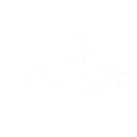 BC(C)(O)C(C)(O)N(C)/C=C\C1=C(C=C)C(Cc2cccc(-c3cccc(F)c3F)c2)C(N(C)N=[N+]=[N-])CC1